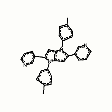 Cc1ccc(-n2c(-c3cccnc3)cc3c2cc(-c2cccnc2)n3-c2ccc(C)cc2)cc1